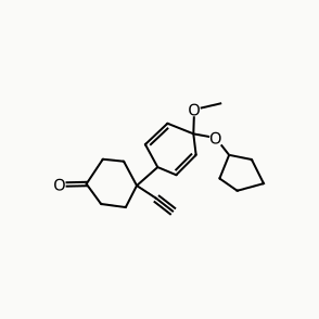 C#CC1(C2C=CC(OC)(OC3CCCC3)C=C2)CCC(=O)CC1